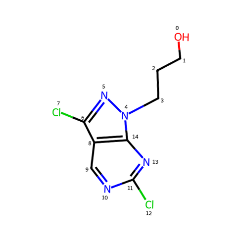 OCCCn1nc(Cl)c2cnc(Cl)nc21